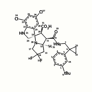 CC(C)(C)c1cccc(C2(CNC(=O)[C@H]3[C@H]4CC(F)(F)CN4[C@]4(CNc5c(Cl)cc(Cl)cc54)[C@H]3C(=O)O)CC2)c1